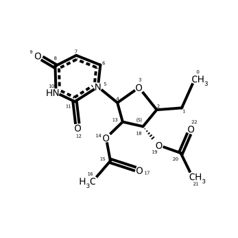 CCC1OC(n2ccc(=O)[nH]c2=O)C(OC(C)=O)[C@H]1OC(C)=O